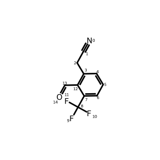 N#CCc1cccc(C(F)(F)F)c1C=O